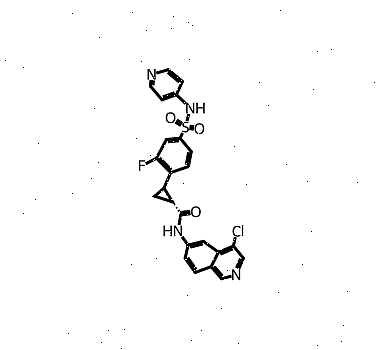 O=C(Nc1ccc2cncc(Cl)c2c1)[C@@H]1CC1c1ccc(S(=O)(=O)Nc2ccncc2)cc1F